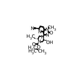 CC[C@@H]1CN(c2nc(=O)n(C)c3ccc(C#N)nc23)[C@@H](CO)CN1C(=O)OC(C)(C)C